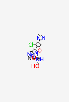 CNc1ncc2cc(-c3ccc(-c4cncc(C)n4)cc3Cl)c(=O)n(CC(=O)NCCO)c2n1